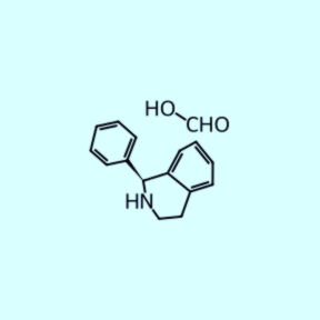 O=CO.c1ccc([C@@H]2NCCc3ccccc32)cc1